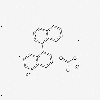 O=C([O-])[O-].[K+].[K+].c1ccc2c(-c3cccc4ccccc34)cccc2c1